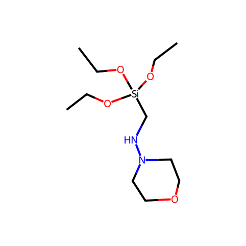 CCO[Si](CNN1CCOCC1)(OCC)OCC